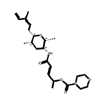 C=CC(C)=CC[C@@H]1O[C@H](C)[C@H](NC(=O)C=CC(C)OC(=O)N2CCOCC2)C[C@@H]1C